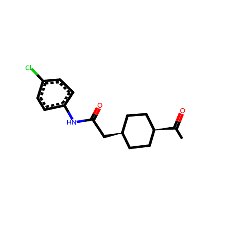 CC(=O)[C@H]1CC[C@@H](CC(=O)Nc2ccc(Cl)cc2)CC1